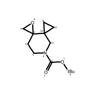 CC(C)(C)OC(=O)N1CCC2(CO2)C2(CC2)C1